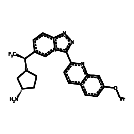 CC(C)Oc1ccc2ccc(-c3nnc4ccc([C@@H](N5CC[C@H](N)C5)C(F)(F)F)cn34)nc2c1